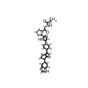 COC(=O)NCC(=O)N1CCC[C@H]1c1ncc(-c2ccc(-c3csc4c(-c5ccc6[nH]cnc6c5)csc34)cc2)[nH]1